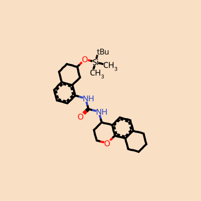 CC(C)(C)[Si](C)(C)OC1CCc2cccc(NC(=O)NC3CCOc4c3ccc3c4CCCC3)c2C1